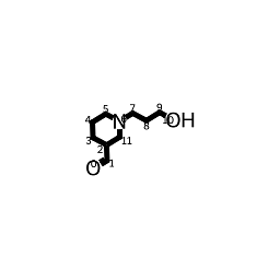 O=CC1CCCN(CCCO)C1